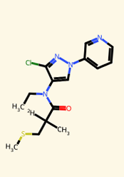 [2H]C(C)(CSC)C(=O)N(CC)c1cn(-c2cccnc2)nc1Cl